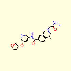 C[C@H]1CN(CC(N)=O)Cc2cc(C(=O)Nc3cncc(OC4CCOC4)c3)ccc21